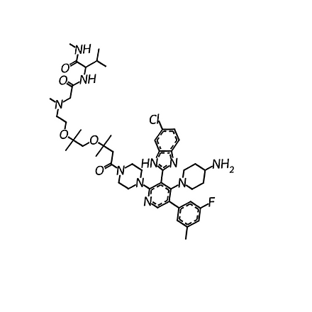 CNC(=O)C(NC(=O)CN(C)CCOC(C)(C)COC(C)(C)CC(=O)N1CCN(c2ncc(-c3cc(C)cc(F)c3)c(N3CCC(N)CC3)c2-c2nc3ccc(Cl)cc3[nH]2)CC1)C(C)C